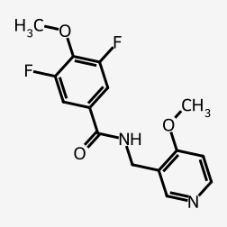 COc1ccncc1CNC(=O)c1cc(F)c(OC)c(F)c1